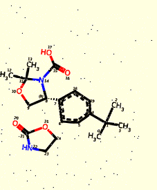 CC(C)(C)c1ccc([C@@H]2COC(C)(C)N2C(=O)O)cc1.O=C1NCCO1